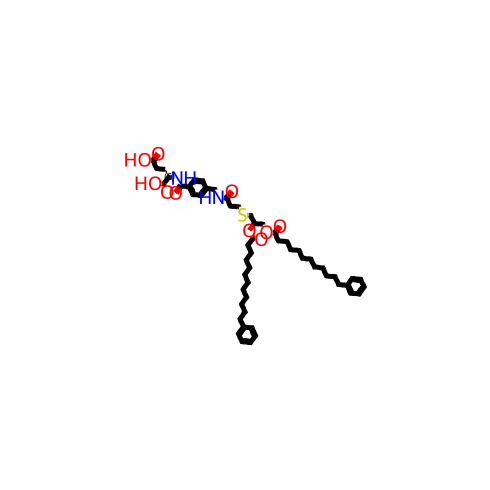 O=C(O)CC[C@H](NC(=O)c1ccc(CNC(=O)CCSCC(COC(=O)CCCCCCCCCCCc2ccccc2)OC(=O)CCCCCCCCCCCc2ccccc2)cc1)C(=O)O